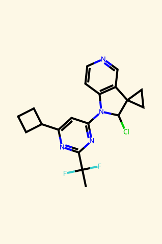 CC(F)(F)c1nc(C2CCC2)cc(N2c3ccncc3C3(CC3)C2Cl)n1